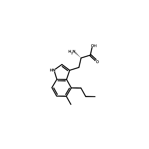 CCCc1c(C)ccc2[nH]cc(C[C@H](N)C(=O)O)c12